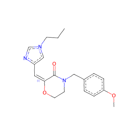 CCCn1cnc(/C=C2/OCCN(Cc3ccc(OC)cc3)C2=O)c1